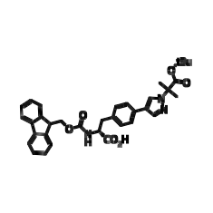 CC(C)(C)OC(=O)C(C)(C)n1cc(-c2ccc(C[C@H](NC(=O)OCC3c4ccccc4-c4ccccc43)C(=O)O)cc2)cn1